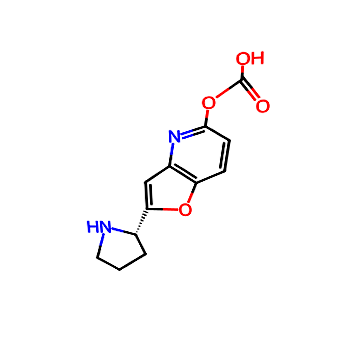 O=C(O)Oc1ccc2oc([C@@H]3CCCN3)cc2n1